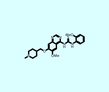 COc1ccccc1NC(=S)Nc1ncnc2cc(OCC3CCN(C)CC3)c(OC)cc12